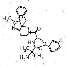 CN1N=C2CCN(C(=O)C(COc3cccc(Cl)c3)NC(=O)C(C)(C)N)CC2(Cc2ccccc2)C1=O